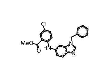 COC(=O)c1cc(Cl)ccc1Nc1ccc2ncn(Cc3ccccc3)c2c1